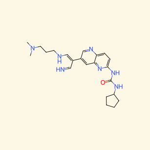 CN(C)CCCN/C=C(\C=N)c1cnc2ccc(NC(=O)NC3CCCC3)nc2c1